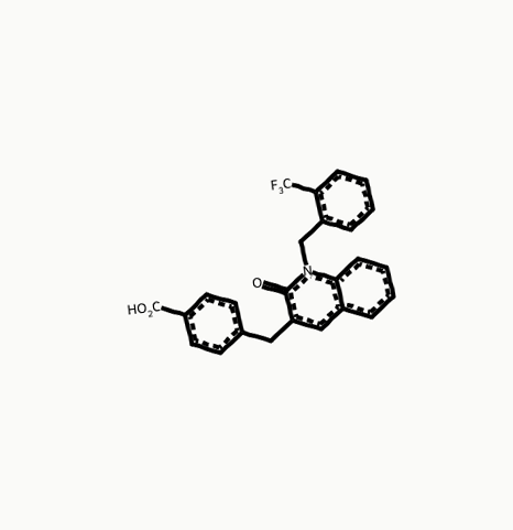 O=C(O)c1ccc(Cc2cc3ccccc3n(Cc3ccccc3C(F)(F)F)c2=O)cc1